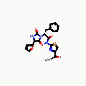 COC(=O)c1csc(NC(=O)[C@H](Cc2ccccc2)N2C(=O)NC(c3ccco3)C2=O)n1